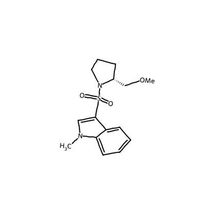 COC[C@H]1CCCN1S(=O)(=O)c1cn(C)c2ccccc12